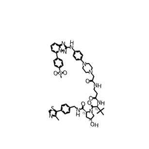 Cc1ncsc1-c1ccc(CNC(=O)[C@@H]2C[C@@H](O)CN2C(=O)[C@@H](NC(=O)CCNC(=O)CN2CCN(c3ccc(Nc4nc5cccc(-c6ccc(S(C)(=O)=O)cc6)n5n4)cc3)CC2)C(C)(C)C)cc1